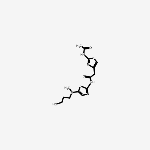 CC(=O)Nc1nc(CC(=O)Nc2ncc(N(C)CCCO)s2)cs1